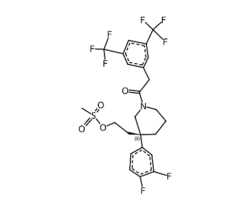 CS(=O)(=O)OCC[C@]1(c2ccc(F)c(F)c2)CCCN(C(=O)Cc2cc(C(F)(F)F)cc(C(F)(F)F)c2)C1